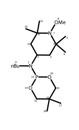 CCCCN(C1CC(C)(C)N(OC)C(C)(C)C1)P1OCC(C)(C)CO1